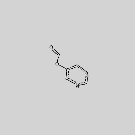 O=[C]Oc1cccnc1